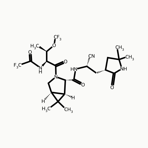 C[C@@H](OC(F)(F)F)[C@H](NC(=O)C(F)(F)F)C(=O)N1C[C@H]2[C@@H]([C@H]1C(=O)N[C@H](C#N)C[C@@H]1CC(C)(C)NC1=O)C2(C)C